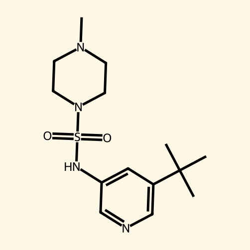 CN1CCN(S(=O)(=O)Nc2cncc(C(C)(C)C)c2)CC1